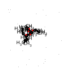 CC(C)c1ccc2c(Nc3cc(NC(=O)Nc4ccc(Sc5ccc(NC(=O)OC(C)(C)C)cc5)c(Nc5ncnc6nc(C(C)C)ccc56)c4)ccc3Sc3ccc(NC(=O)OC(C)(C)C)cc3)ncnc2n1